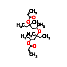 C=CC(=O)OC(C)CC(C)(CC)OC(C)CC(C)(CC)OC(=O)C=C